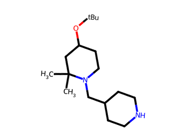 CC(C)(C)OC1CCN(CC2CCNCC2)C(C)(C)C1